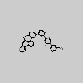 Fc1cc(-c2cccc(-c3ccc4c(c3)-c3cccc5c3c(cc3ccccc35)CC4)c2)ccc1-c1cccc(C(F)(F)F)c1